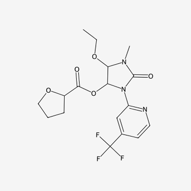 CCOC1C(OC(=O)C2CCCO2)N(c2cc(C(F)(F)F)ccn2)C(=O)N1C